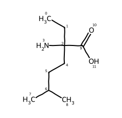 CCC(N)(CCC(C)C)C(=O)O